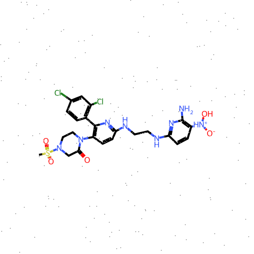 CS(=O)(=O)N1CCN(c2ccc(NCCNc3ccc([NH+]([O-])O)c(N)n3)nc2-c2ccc(Cl)cc2Cl)C(=O)C1